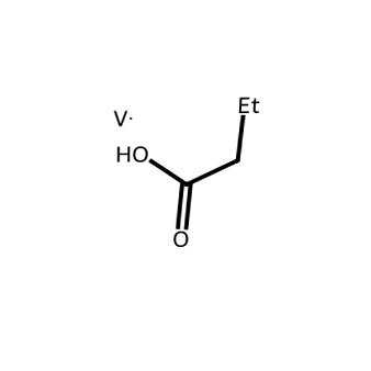 CCCC(=O)O.[V]